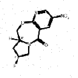 O=C1c2cc([N+](=O)[O-])cnc2OC[C@H]2C[C@H](F)CN12